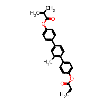 C=CC(=O)Oc1ccc(-c2ccc(-c3ccc(OC(=O)C(=C)C)cc3)cc2C)cc1